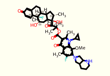 COc1c(N2CC3CCCNC3C2)c(F)c(C)c2c(=O)c(C(=O)OC(C)(C)C(=O)[C@@]3(O)[C@@H](C)C[C@H]4[C@@H]5CCC6=CC(=O)C=C[C@]6(C)[C@@]5(F)[C@@H](O)C[C@@]43C)c(C)n(C3CC3)c12